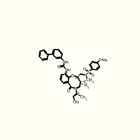 COc1ccc(S(=O)(=O)N(C)C[C@@H]2Oc3c(NC(=O)Nc4cccc(-c5ccccc5)c4)cccc3C(=O)N([C@@H](C)CO)C[C@H]2C)cc1